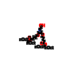 CCCCCCCCC(CCCCCCCC)OC(=O)CCCCO[C@H]1CN(CCO)C[C@H]1OCCCCC(=O)OC(CCCCCCCC)CCCCCCCC